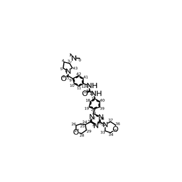 CN(C)[C@H]1CCN(C(=O)c2ccc(NC(=O)Nc3ccc(-c4nc(C5CCOCC5)nc(N5CCOCC5)n4)cc3)cc2)C1